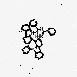 N=C(/N=C(\Nn1c2ccccc2c2cccc(-c3cccc4c5ccccc5n(-c5ccccc5)c34)c21)c1ccccc1)c1ccccc1